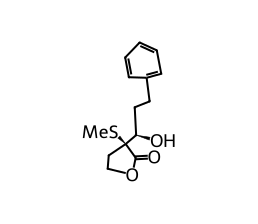 CS[C@]1([C@H](O)CCc2ccccc2)CCOC1=O